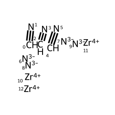 C#N.C#N.C#N.[N-3].[N-3].[N-3].[N-3].[Zr+4].[Zr+4].[Zr+4]